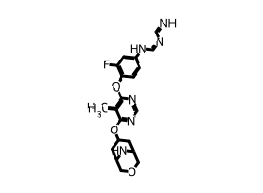 Cc1c(Oc2ccc(N/C=N\C=N)cc2F)ncnc1OC1CC2COCC(C1)N2